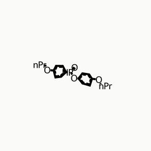 CCCOc1ccc(O[PH](=O)c2ccc(OCCC)cc2)cc1